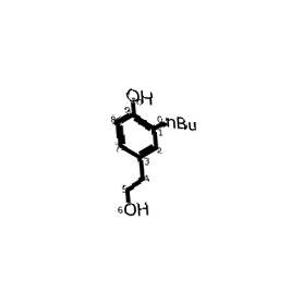 CCCCc1cc(CCO)ccc1O